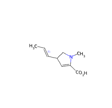 C/C=C/C1C=C(C(=O)O)N(C)C1